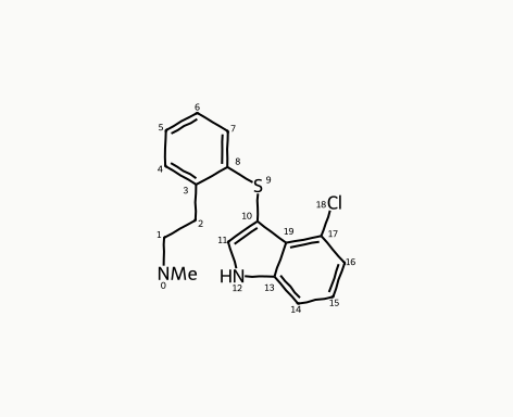 CNCCc1ccccc1Sc1c[nH]c2cccc(Cl)c12